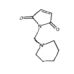 O=C1C=CC(=O)N1CN1CCCCC1